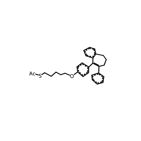 CC(=O)SCCCCCOc1ccc(C2=C(c3ccccc3)CCCc3ccccc32)cc1